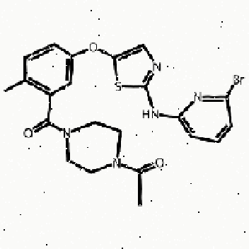 CC(=O)N1CCN(C(=O)c2cc(Oc3cnc(Nc4cccc(Br)n4)s3)ccc2C)CC1